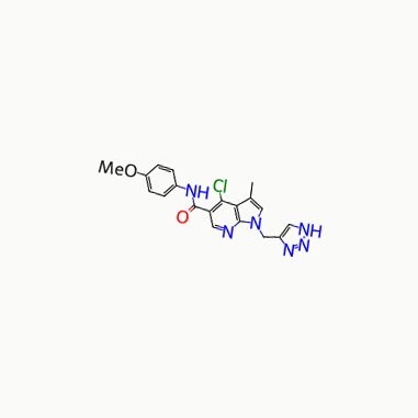 COc1ccc(NC(=O)c2cnc3c(c(C)cn3Cc3c[nH]nn3)c2Cl)cc1